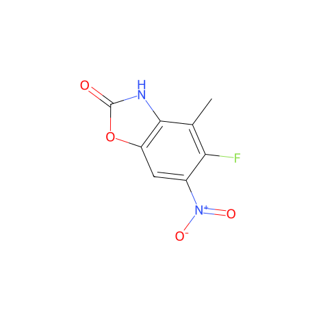 Cc1c(F)c([N+](=O)[O-])cc2oc(=O)[nH]c12